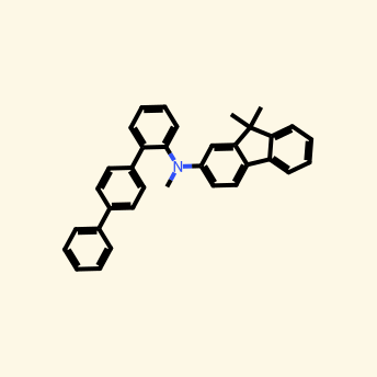 CN(c1ccc2c(c1)C(C)(C)c1ccccc1-2)c1ccccc1-c1ccc(-c2ccccc2)cc1